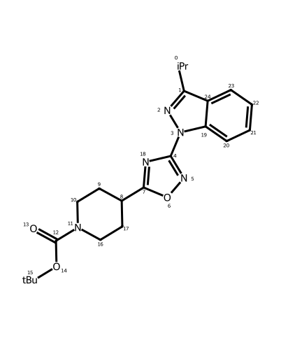 CC(C)c1nn(-c2noc(C3CCN(C(=O)OC(C)(C)C)CC3)n2)c2ccccc12